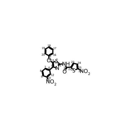 O=C(Nc1nc(-c2cccc([N+](=O)[O-])c2)c(Oc2ccccc2)s1)c1ccc([N+](=O)[O-])s1